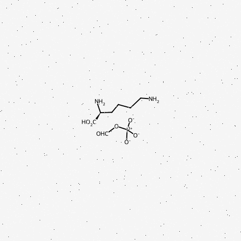 NCCCC[C@H](N)C(=O)O.O=CO[I+3]([O-])([O-])[O-]